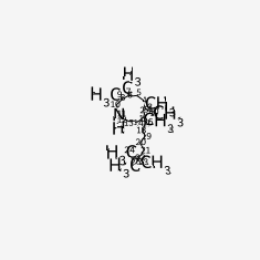 CC[C@@]1(C)CCC(C)C(C)CNCCCC1(C)CCCCCC(C)(C)C